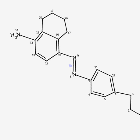 CCCCc1ccc(/N=N/c2ccc(N)c3c2CCCC3)cc1